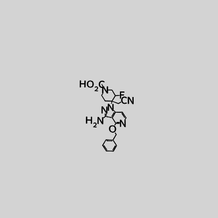 N#CCC1(n2nc(N)c3c(OCc4ccccc4)nccc32)CCN(C(=O)O)CC1F